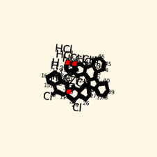 Cl.Cl.[CH2]=[Zr]([C]1=CC=CC1)([c]1ccc(Cl)c2ccccc12)([c]1ccc(Cl)c2ccccc12)[C]1(C)C2=C3Cc4ccccc4C3=C3C=CCCC3C2(C)C(C)(C)C(C)(C)C1(C)C